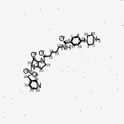 CN1CCN(c2ccc(C(=O)NCCCCC(=O)N3CCC4C3C(=O)CN4S(=O)(=O)Cc3cccnc3)cc2)CC1